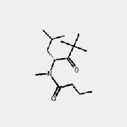 CCCC(=O)N(C)[C@H](CC(C)C)C(=O)C(C)(C)C